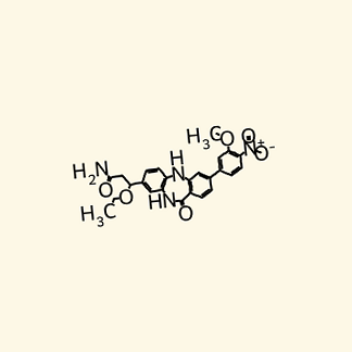 CCOC(CC(N)=O)c1ccc2c(c1)NC(=O)c1ccc(-c3ccc([N+](=O)[O-])c(OC)c3)cc1N2